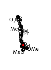 COC(=O)C(Cc1ccc(OCCOS(=O)(=O)c2ccccc2[N+](=O)[O-])cc1)NC[C@@H](C(C)C)n1cc(COc2ccc3nc(S(=O)(=O)NC(c4ccccc4)(c4ccc(OC)cc4)c4ccc(OC)cc4)sc3c2)nn1